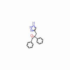 c1ccc(C2OC2(Cc2c[nH]nn2)c2ccccc2)cc1